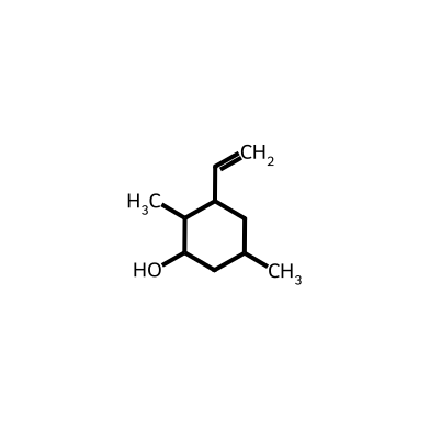 C=CC1CC(C)CC(O)C1C